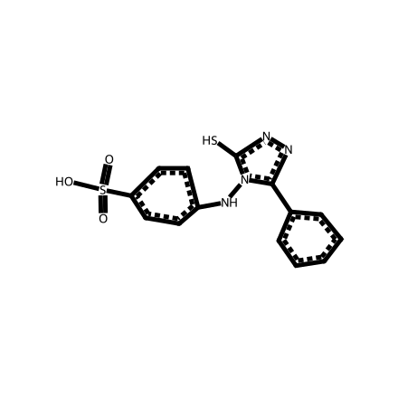 O=S(=O)(O)c1ccc(Nn2c(S)nnc2-c2ccccc2)cc1